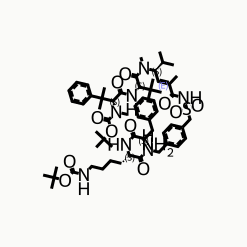 C/C(=C\[C@H](C(C)C)N(C)C(=O)[C@@H](NC(=O)[C@@H](N(C)C(=O)OC(C)(C)C)C(C)(C)c1ccccc1)C(C)(C)C)C(=O)NS(=O)(=O)Cc1ccc(CNC(=O)[C@H](CCCCNC(=O)OC(C)(C)C)NC(=O)[C@@H](N)Cc2ccccc2)cc1